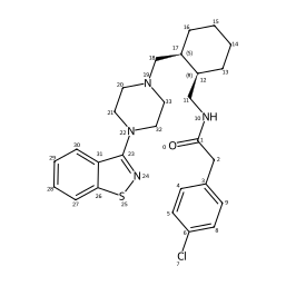 O=C(Cc1ccc(Cl)cc1)NC[C@@H]1CCCC[C@@H]1CN1CCN(c2nsc3ccccc23)CC1